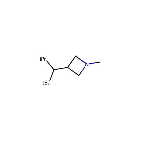 CC(C)C(C1CN(C)C1)C(C)(C)C